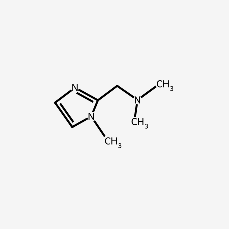 CN(C)Cc1nccn1C